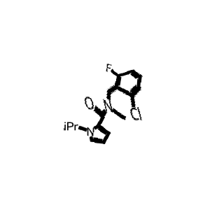 CC(C)n1cccc1C(=O)N(C)Cc1c(F)cccc1Cl